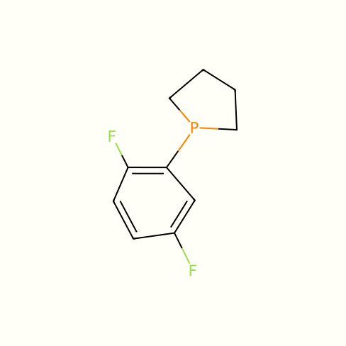 Fc1ccc(F)c(P2CCCC2)c1